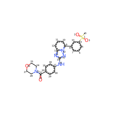 CS(=O)(=O)c1cccc(-c2cccc3nc(Nc4ccc(C(=O)N5CCOCC5)cc4)nn23)c1